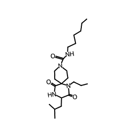 CCCCCCNC(=O)N1CCC2(CC1)C(=O)NC(CC(C)C)C(=O)N2CCC